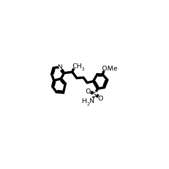 COc1ccc(S(N)(=O)=O)c(CCCC(C)c2nccc3ccccc23)c1